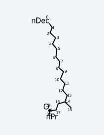 CCCCCCCCCCCCCCCCCCCCCCCC(C)CCC(=O)CCC